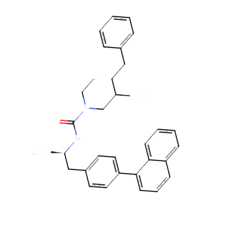 CC(C)CN(CC(CCc1ccccc1)C(=O)O)C(=O)N[C@@H](Cc1ccc(-c2cccc3ccccc23)cc1)C(=O)O